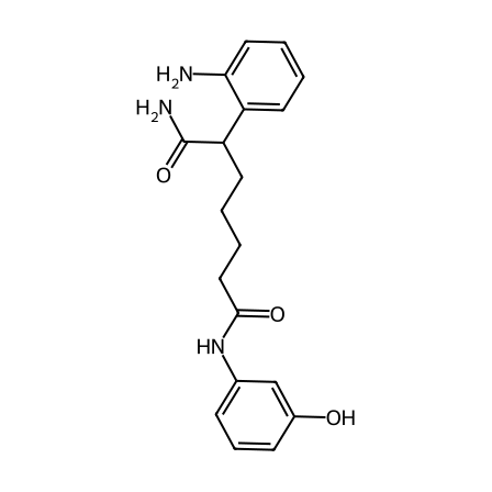 NC(=O)C(CCCCC(=O)Nc1cccc(O)c1)c1ccccc1N